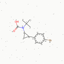 CC(C)(C)N(C(=O)O)C1CC1c1ccc(Br)cc1